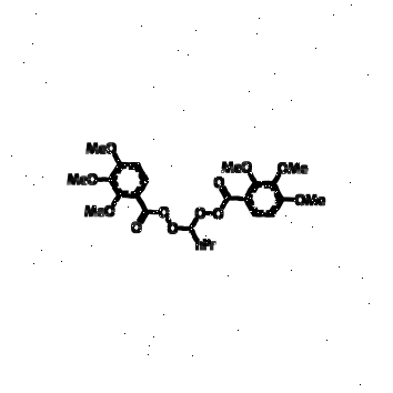 [CH2]CC[C](OOC(=O)c1ccc(OC)c(OC)c1OC)OOC(=O)c1ccc(OC)c(OC)c1OC